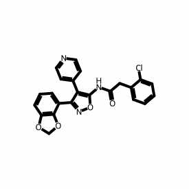 O=C(Cc1ccccc1Cl)Nc1onc(-c2cccc3c2OCO3)c1-c1ccncc1